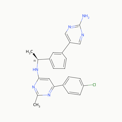 Cc1nc(N[C@@H](C)c2cccc(-c3cnc(N)nc3)c2)cc(-c2ccc(Cl)cc2)n1